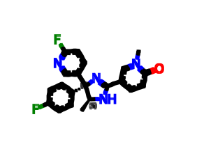 C[C@@H]1NC(c2ccc(=O)n(C)c2)=N[C@]1(c1ccc(F)cc1)c1ccc(F)nc1